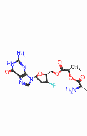 CC(C)[C@H](N)C(=O)O[C@@H](C)C(=O)OC[C@H]1O[C@@H](n2cnc3c(=O)[nH]c(N)nc32)CC1F